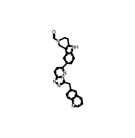 O=CN1CCc2[nH]c3ccc(-c4ccc5nnc(Cc6ccc7ncccc7c6)n5n4)cc3c2C1